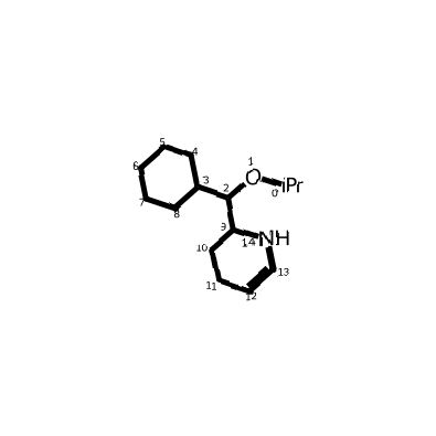 CC(C)OC(C1CCCCC1)C1CCC=CN1